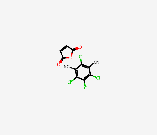 N#Cc1c(Cl)c(Cl)c(Cl)c(C#N)c1Cl.O=C1C=CC(=O)O1